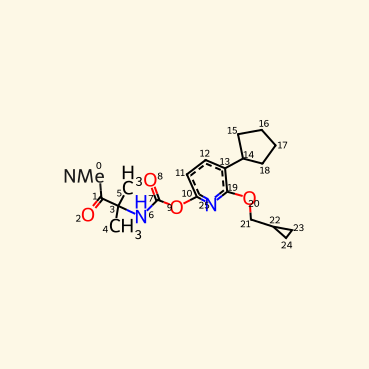 CNC(=O)C(C)(C)NC(=O)Oc1ccc(C2CCCC2)c(OCC2CC2)n1